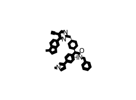 C#Cc1cnc(C[C@H]2CC[C@H](C(C(=O)NCc3ccccc3)c3ccc(-c4ccn(C)c4)cc3)CC2)nc1-c1ccc2c(c1)C=CC2C